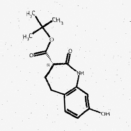 CC(C)(C)OC(=O)[C@H]1CCc2ccc(O)cc2NC1=O